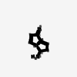 NC1CC=C2C(=O)C=CN21